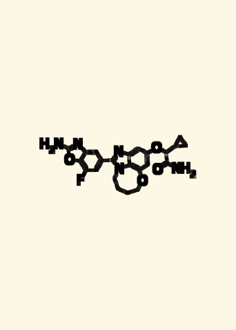 NC(=O)C(Oc1cc2c3c(c1)nc(-c1cc(F)c4oc(N)nc4c1)n3CCCCO2)C1CC1